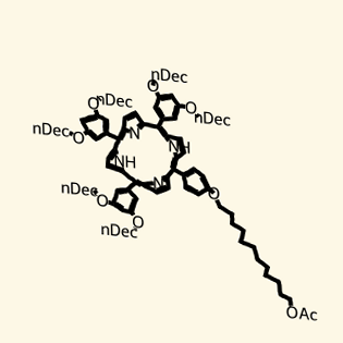 CCCCCCCCCCOc1cc(OCCCCCCCCCC)cc(-c2c3nc(c(-c4cc(OCCCCCCCCCC)cc(OCCCCCCCCCC)c4)c4ccc([nH]4)c(-c4cc(OCCCCCCCCCC)cc(OCCCCCCCCCC)c4)c4nc(c(-c5ccc(OCCCCCCCCCCCCOC(C)=O)cc5)c5ccc2[nH]5)C=C4)C=C3)c1